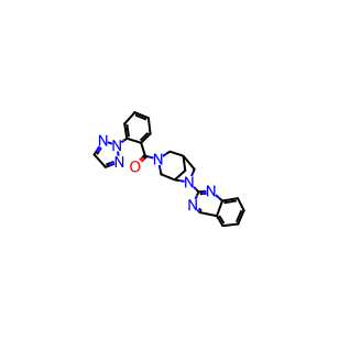 O=C(c1ccccc1-n1nccn1)N1CC2CC(C1)N(c1ncc3ccccc3n1)C2